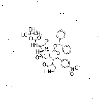 CC(C)(C)OC(=O)N[C@@H]1C(=O)N2C(C(=O)OC(c3ccccc3)c3ccccc3)=C(C(Cc3ccc([N+](=O)[O-])cc3)=C3CCNC3=O)C[S@+]([O-])[C@H]12